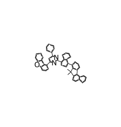 CC1(C)c2ccc3ccccc3c2-c2cccc(-c3ccc(-c4nc(-c5ccccc5)cc(-c5cccc6oc7ccccc7c56)n4)c4ccccc34)c21